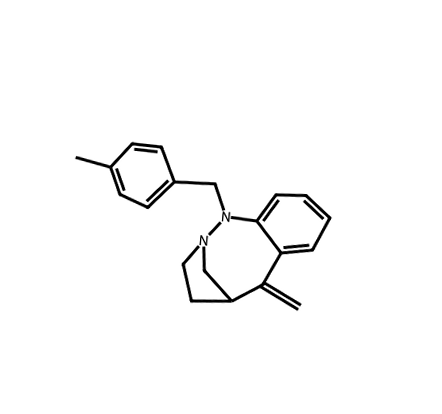 C=C1c2ccccc2N(Cc2ccc(C)cc2)N2CCC1C2